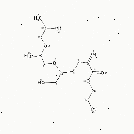 C=C(CCC(CO)OCC(C)OCC(C)O)C(=O)OCCO